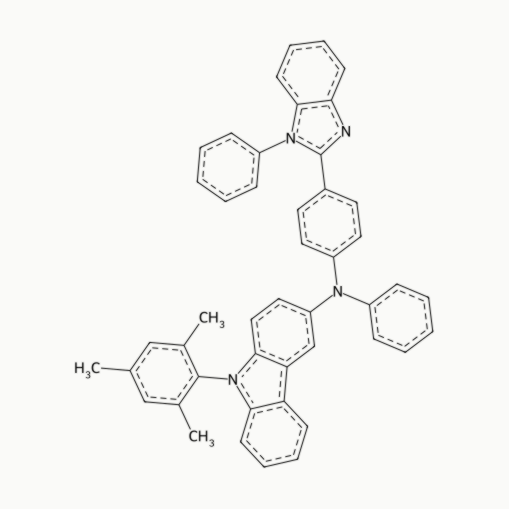 Cc1cc(C)c(-n2c3ccccc3c3cc(N(c4ccccc4)c4ccc(-c5nc6ccccc6n5-c5ccccc5)cc4)ccc32)c(C)c1